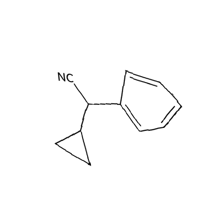 N#CC(c1ccccc1)C1CC1